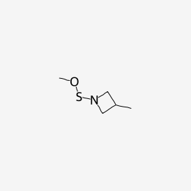 COSN1CC(C)C1